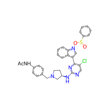 CC(=O)Nc1ccc(CN2CC[C@@H](Nc3ncc(Cl)c(-c4cn(OS(=O)c5ccccc5)c5ccccc45)n3)C2)cc1